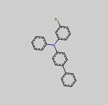 Brc1cccc(N(c2ccccc2)c2ccc(-c3ccccc3)cc2)c1